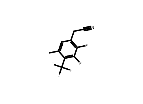 Cc1cc(CC#N)c(F)c(F)c1C(F)(F)F